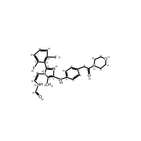 Cc1c(Nc2ccc(CC(=O)N3CCOCC3)cc2)nc(-c2c(F)cccc2F)n1/C=C\NC=O